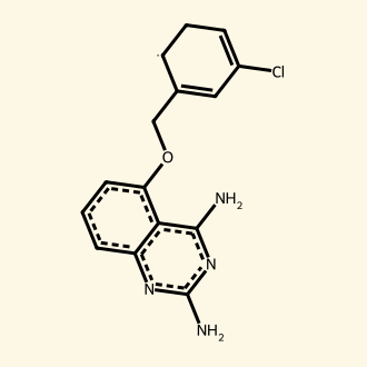 Nc1nc(N)c2c(OCC3=CC(Cl)=CC[CH]3)cccc2n1